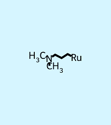 CN(C)CC[CH2][Ru]